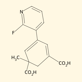 CC1(C(=O)O)C=C(c2cccnc2F)C=C(C(=O)O)C1